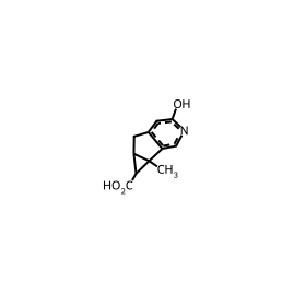 CC12c3cnc(O)cc3CC1C2C(=O)O